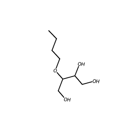 CCCCOC(CO)C(O)CO